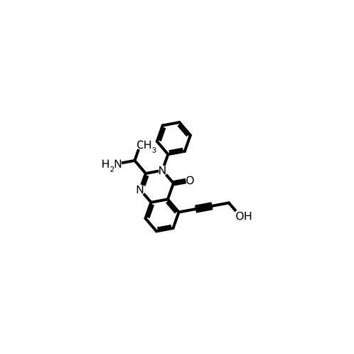 CC(N)c1nc2cccc(C#CCO)c2c(=O)n1-c1ccccc1